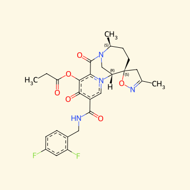 CCC(=O)Oc1c2n(cc(C(=O)NCc3ccc(F)cc3F)c1=O)[C@@H]1CN(C2=O)[C@@H](C)CC[C@]12CC(C)=NO2